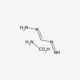 N=NC=NN.NC(=O)O